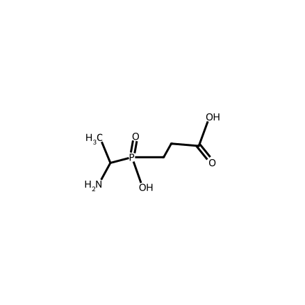 CC(N)P(=O)(O)CCC(=O)O